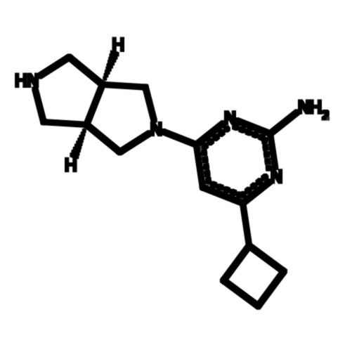 Nc1nc(C2CCC2)cc(N2C[C@H]3CNC[C@H]3C2)n1